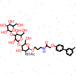 CC(=O)NC1C(O)[C@H](O[C@@H]2OC(CO)[C@H](O)C(O[C@H]3OC(CO)[C@H](O)C(O)C3O)C2O)C(CO)O[C@H]1OCCCNC(=O)COc1ccc(-c2cccc(C)c2)cc1